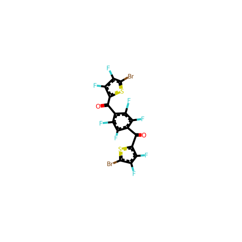 O=C(c1sc(Br)c(F)c1F)c1c(F)c(F)c(C(=O)c2sc(Br)c(F)c2F)c(F)c1F